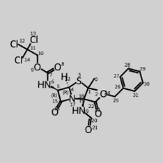 CC1(C)S[C@@H]2[C@H](NC(=O)OCC(Cl)(Cl)Cl)C(=O)N2[C@@]1(NC=O)C(=O)OCc1ccccc1